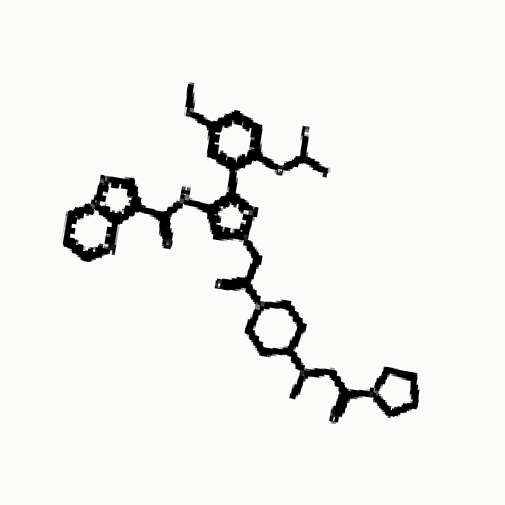 CSc1ccc(OC(F)F)c(-c2nn(CC(=O)N3CCC(N(C)CC(=O)N4CCCC4)CC3)cc2NC(=O)c2cnn3cccnc23)c1